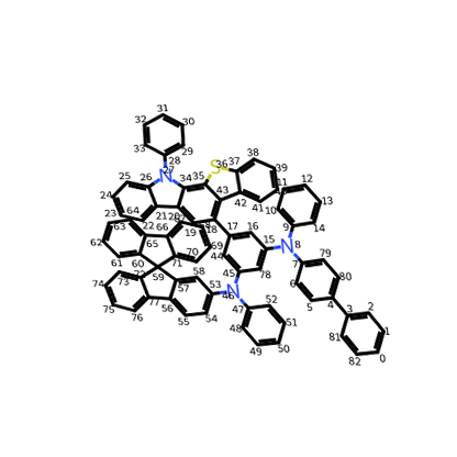 c1ccc(-c2ccc(N(c3ccccc3)c3cc(-c4cc5c6ccccc6n(-c6ccccc6)c5c5sc6ccccc6c45)cc(N(c4ccccc4)c4ccc5c(c4)C4(c6ccccc6-c6ccccc64)c4ccccc4-5)c3)cc2)cc1